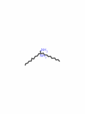 CCCCCCCCCCC(N)(CN)CCCCCCCCCC